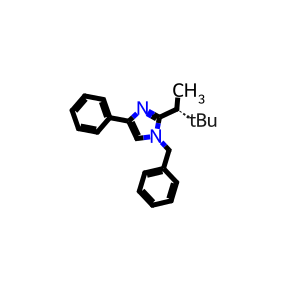 C[C@@H](c1nc(-c2ccccc2)cn1Cc1ccccc1)C(C)(C)C